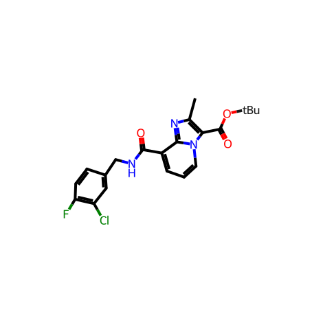 Cc1nc2c(C(=O)NCc3ccc(F)c(Cl)c3)cccn2c1C(=O)OC(C)(C)C